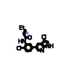 CC/C=C/C(=O)Nc1cc(-c2cnc3[nH]cc(Cl)c3c2)ccc1Cl